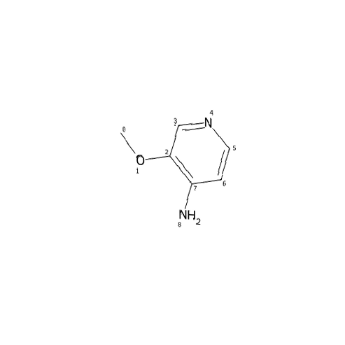 COc1[c]nccc1N